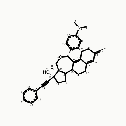 CN(C)c1ccc([C@H]2OC[C@@]3(C)C(CC[C@@]3(O)C#Cc3ccccc3)C3CCC4=CC(=O)CCC4=C32)cc1